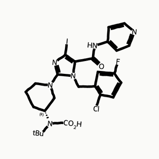 CC(C)(C)N(C(=O)O)[C@@H]1CCCN(c2nc(I)c(C(=O)Nc3ccncc3)n2Cc2cc(F)ccc2Cl)C1